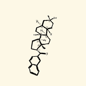 C[C@@]1(O)CC[C@H]2[C@@H](CC[C@@H]3[C@@H]2CC[C@]2(C)[C@@H](C(=O)c4ccc5ccccc5c4)CC[C@@H]32)C1